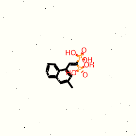 Cc1cc(C=C(P(=O)(O)O)P(=O)(O)O)c2ccccc2c1